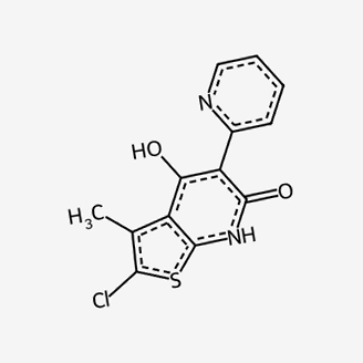 Cc1c(Cl)sc2[nH]c(=O)c(-c3ccccn3)c(O)c12